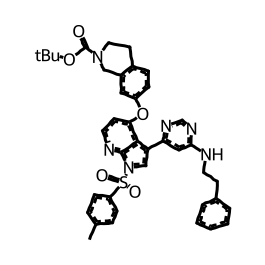 Cc1ccc(S(=O)(=O)n2cc(-c3cc(NCCc4ccccc4)ncn3)c3c(Oc4ccc5c(c4)CN(C(=O)OC(C)(C)C)CC5)ccnc32)cc1